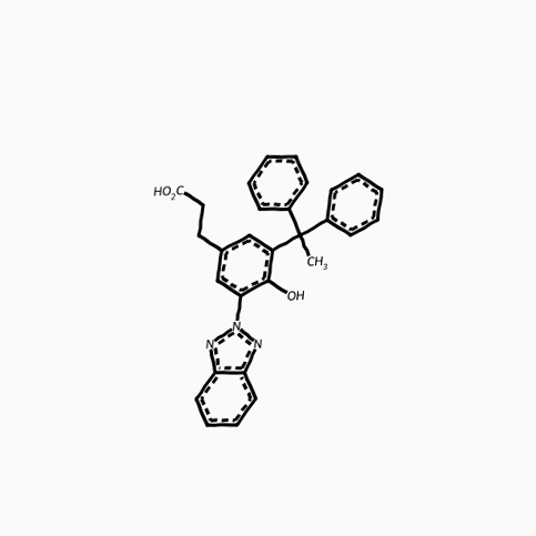 CC(c1ccccc1)(c1ccccc1)c1cc(CCC(=O)O)cc(-n2nc3ccccc3n2)c1O